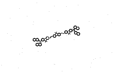 CC1(C)C2=CC(/C=C/c3ccc4c(c3)C(C)(C)c3cc(CCc5ccc6c(c5)C(C)(C)c5cc(N(c7ccc8ccccc8c7)c7cccc8ccccc78)ccc5-6)ccc3-4)CC=C2c2ccc(N(c3ccc4ccccc4c3)c3cccc4ccccc34)cc21